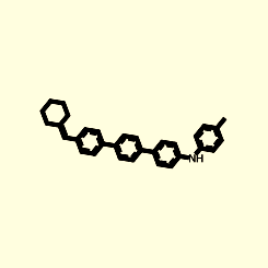 Cc1ccc(Nc2ccc(-c3ccc(-c4ccc(C=C5CCCCC5)cc4)cc3)cc2)cc1